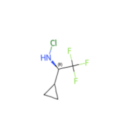 FC(F)(F)[C@H](NCl)C1CC1